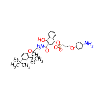 CCC(C)(C)c1ccc(OCCCNC(=O)c2cc(OS(=O)(=O)CCCOc3ccc(N)cc3)c3ccccc3c2O)c(C(C)(C)CC)c1